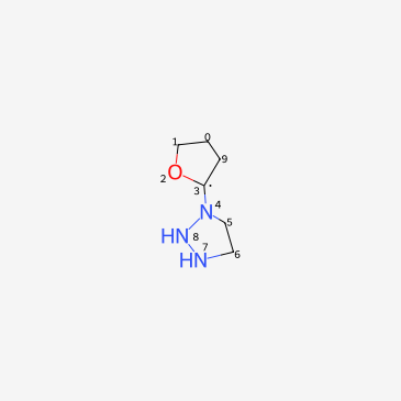 C1CO[C](N2CCNN2)C1